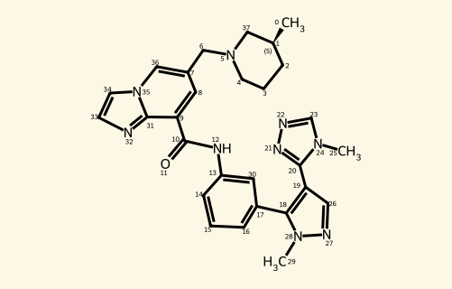 C[C@H]1CCCN(Cc2cc(C(=O)Nc3cccc(-c4c(-c5nncn5C)cnn4C)c3)c3nccn3c2)C1